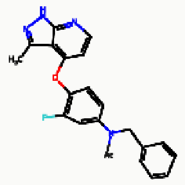 CC(=O)N(Cc1ccccc1)c1ccc(Oc2ccnc3[nH]nc(C)c23)c(F)c1